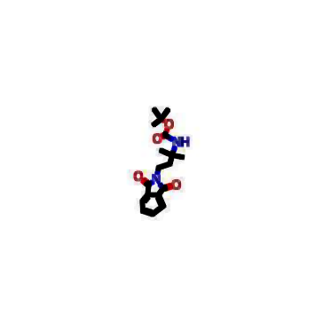 CC(C)(CCN1C(=O)c2ccccc2C1=O)NC(=O)OC(C)(C)C